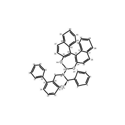 C[C@H](c1ccccc1)N(Cc1ccccc1-c1ccccc1)p1oc2ccc3ccccc3c2c2c(ccc3ccccc32)o1